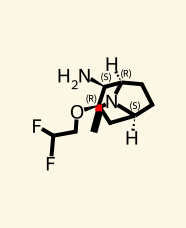 C=CN1[C@H]2CC[C@@H]1[C@H](N)[C@H](OCC(F)F)C2